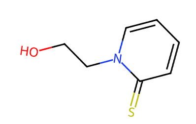 OCCn1ccccc1=S